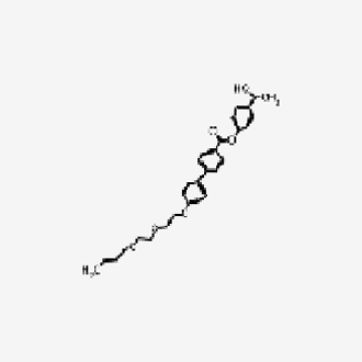 CCCCOCCOCCOc1ccc(-c2ccc(C(=O)Oc3ccc(C(C)O)cc3)cc2)cc1